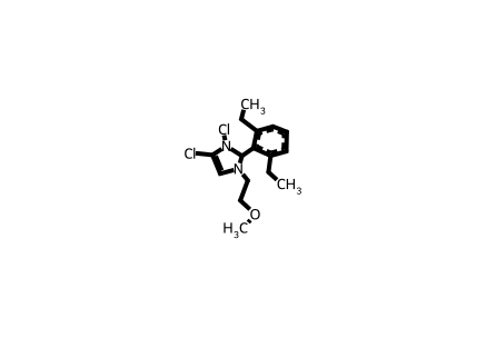 CCc1cccc(CC)c1C1N(CCOC)C=C(Cl)N1Cl